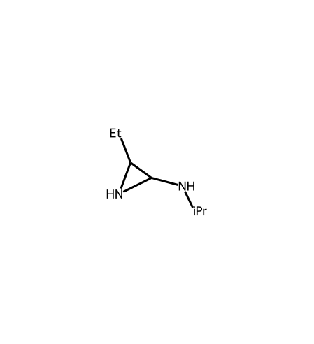 CCC1NC1NC(C)C